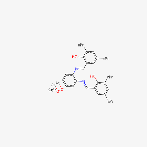 CC(=O)[O-].CC(=O)[O-].CCCc1cc(C=Nc2ccccc2N=Cc2cc(CCC)cc(CCC)c2O)c(O)c(CCC)c1.[Co+2]